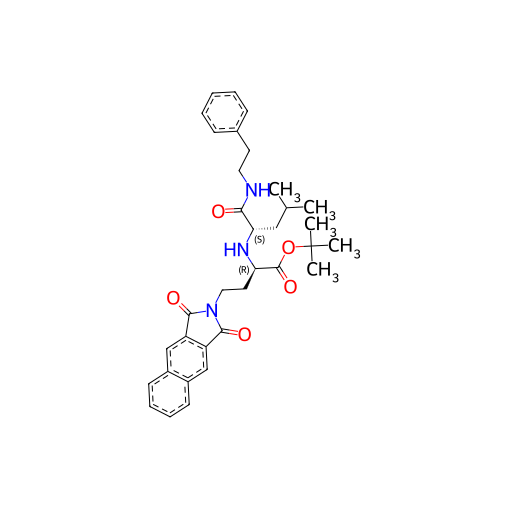 CC(C)C[C@H](N[C@H](CCN1C(=O)c2cc3ccccc3cc2C1=O)C(=O)OC(C)(C)C)C(=O)NCCc1ccccc1